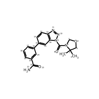 CC1(C)COCN1C(=O)n1nnc2ccc(-c3cccc(C(N)=O)c3)cc21